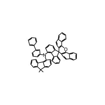 CC1(C)c2ccccc2-c2c(N(c3cccc(-c4ccccc4)c3)c3cccc4c3-c3ccccc3C43c4ccc5ccccc5c4Oc4c3ccc3ccccc43)cccc21